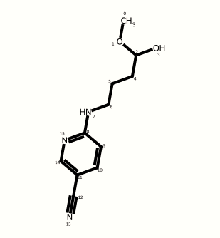 COC(O)CCCNc1ccc(C#N)cn1